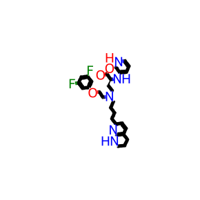 O=C(O)[C@H](CCN(CCCCc1ccc2c(n1)NCCC2)CCOc1cc(F)cc(F)c1)Nc1cccnc1